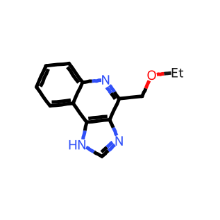 CCOCc1nc2ccccc2c2[nH]cnc12